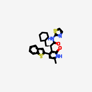 Cc1cc(-c2cc3ccccc3s2)c([C@H](CC2CCCCC2)C(=O)Nc2nccs2)c(=O)[nH]1